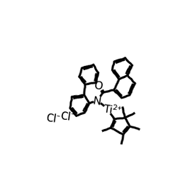 CC1=C(C)C(C)(C)[C]([Ti+2][N](C(=O)c2cccc3ccccc23)c2ccccc2-c2ccccc2)=C1C.[Cl-].[Cl-]